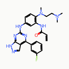 C=CC(=O)Nc1cc(Nc2nc(-c3cccc(F)c3)c3cn[nH]c3n2)ccc1N(C)CCN(C)C